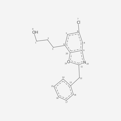 OCCCc1cc(Cl)cc2nc(Cc3ccccc3)oc12